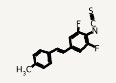 Cc1ccc(C=Cc2cc(F)c(N=C=S)c(F)c2)cc1